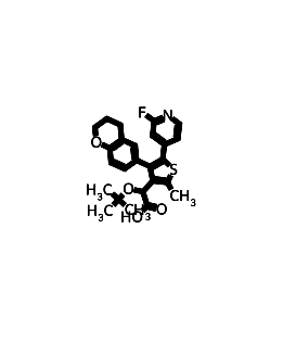 Cc1sc(-c2ccnc(F)c2)c(-c2ccc3c(c2)CCCO3)c1C(OC(C)(C)C)C(=O)O